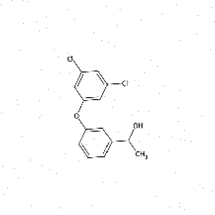 CC(O)c1cccc(Oc2cc(Cl)cc(Cl)c2)c1